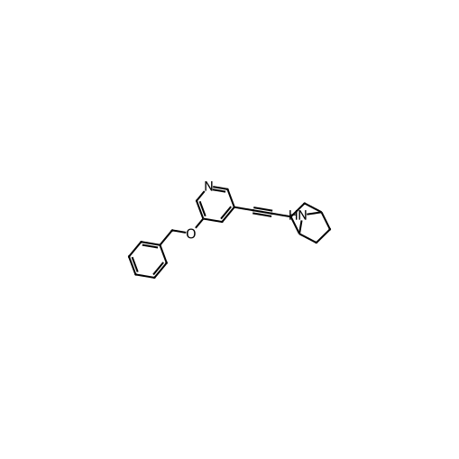 C(#CC1CC2CCC1N2)c1cncc(OCc2ccccc2)c1